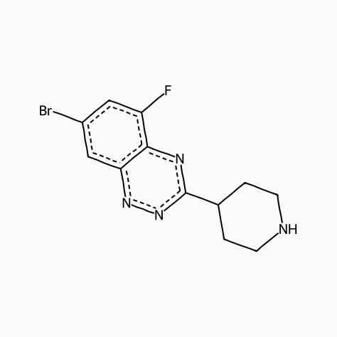 Fc1cc(Br)cc2nnc(C3CCNCC3)nc12